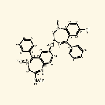 CN1CCN=C(c2ccccc2)c2cc(Cl)ccc21.CNC1=Nc2ccc(Cl)cc2C(c2ccccc2)=[N+]([O-])C1